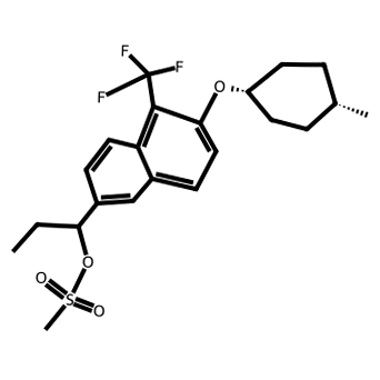 CCC(OS(C)(=O)=O)c1ccc2c(C(F)(F)F)c(O[C@H]3CC[C@@H](C)CC3)ccc2c1